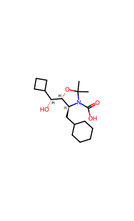 CC1(C)O[C@@H]([C@H](O)C2CCC2)[C@H](CC2CCCCC2)N1C(=O)O